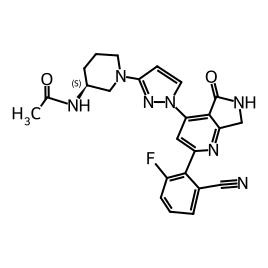 CC(=O)N[C@H]1CCCN(c2ccn(-c3cc(-c4c(F)cccc4C#N)nc4c3C(=O)NC4)n2)C1